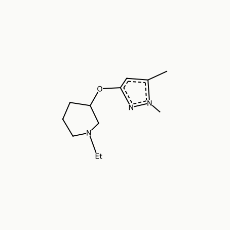 CCN1CCCC(Oc2cc(C)n(C)n2)C1